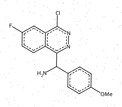 COc1ccc(C(N)c2nnc(Cl)c3cc(F)ccc23)cc1